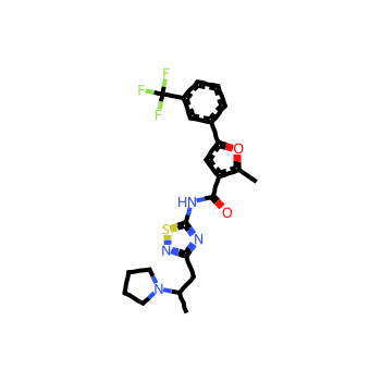 Cc1oc(-c2cccc(C(F)(F)F)c2)cc1C(=O)Nc1nc(CC(C)N2CCCC2)ns1